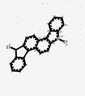 CCC1c2ccccc2-c2c1ccc1c2ccc2c1c1ccccc1n2CC